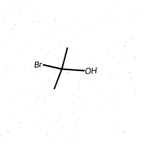 CC(C)(O)Br